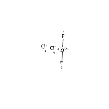 [Cl-].[Cl-].[F][Zr+2][F]